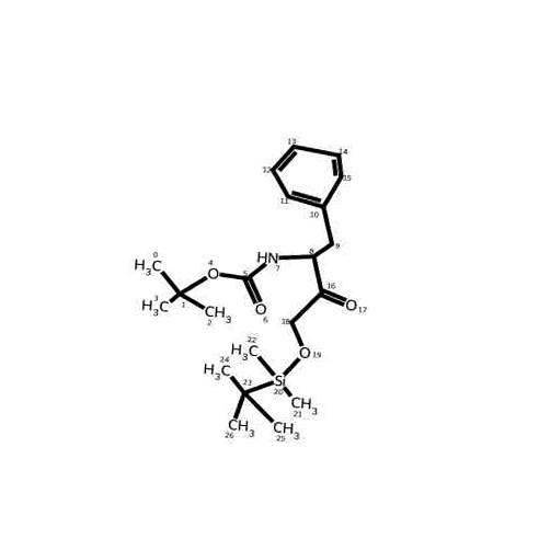 CC(C)(C)OC(=O)NC(Cc1ccccc1)C(=O)CO[Si](C)(C)C(C)(C)C